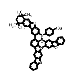 CC(C)(C)c1ccc(Nc2cc3oc4cc5c(cc4c3cc2-c2ccc3c4cc6c(cc4n4c3c2Bc2cc3c(cc2-4)oc2ccccc23)sc2ccccc26)C(C)(C)CCC5(C)C)cc1